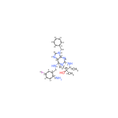 CC(Nc1nc(NCc2cc(I)ccc2N)c2ncn(Cc3ccccc3)c2n1)C(C)(C)O